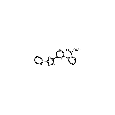 COC(=O)c1ccccc1-c1cncc(-c2nnc(-c3ccccc3)o2)n1